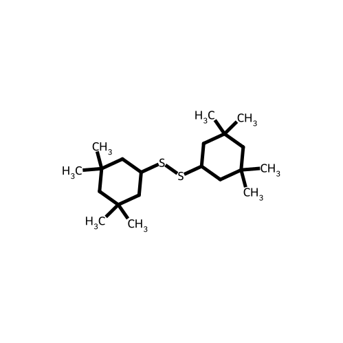 CC1(C)CC(SSC2CC(C)(C)CC(C)(C)C2)CC(C)(C)C1